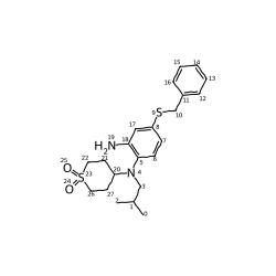 CC(C)CN(c1ccc(SCc2ccccc2)cc1N)C1CCS(=O)(=O)CC1